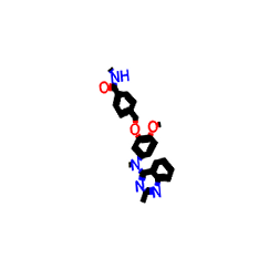 CNC(=O)c1ccc(COc2cc(N(C)c3nc(C)nc4ccccc34)ccc2OC)cc1